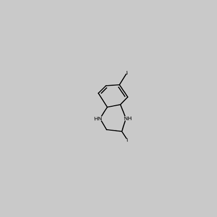 IC1=CC2NC(I)CNC2C=C1